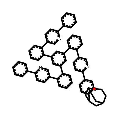 c1ccc(-c2ccc(-c3ccccc3-c3cc(-c4ccccc4-c4ccc(-c5ccccc5)nc4)cc(-c4ccccc4-c4ccc(-c5ccc6c(c5)C5CC7CC(CC6C7)C5)nc4)c3)cn2)cc1